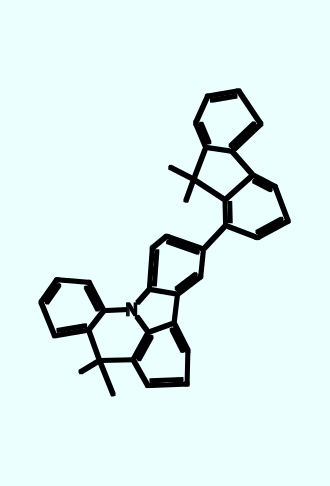 CC1(C)c2ccccc2-c2cccc(-c3ccc4c(c3)c3cccc5c3n4-c3ccccc3C5(C)C)c21